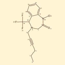 CCCC#CCN1CC(=O)N(Cl)c2ccccc2C1C(F)(F)F